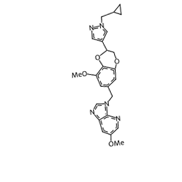 COc1cnc2c(c1)ncn2Cc1cc(OC)c2c(c1)OCC(c1cnn(CC3CC3)c1)O2